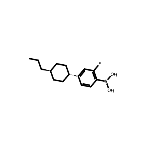 CCC[C@H]1CC[C@H](c2ccc(B(O)O)c(F)c2)CC1